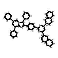 c1ccc(-c2cc(-c3ccccc3)c3nc(-c4ccc(-c5nc(-c6ccc7ccccc7c6)cc(-c6ccc7ccccc7c6)n5)cc4)c(-c4ccccc4)n3c2)cc1